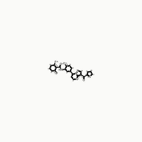 O=C(Nc1cc(-c2ccnc3c(C(=O)c4cccs4)cnn23)ccc1F)c1c(F)cccc1F